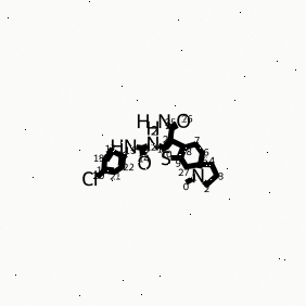 CN1CCCC12CCc1c(sc(NC(=O)Nc3ccc(Cl)cc3)c1C(N)=O)C2